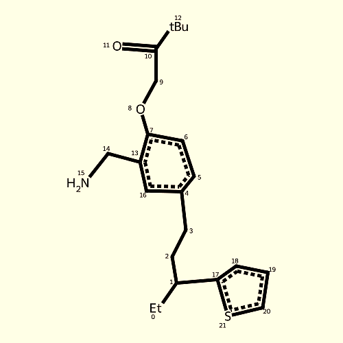 CCC(CCc1ccc(OCC(=O)C(C)(C)C)c(CN)c1)c1cccs1